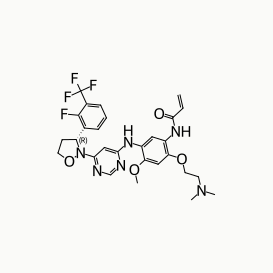 C=CC(=O)Nc1cc(Nc2cc(N3OCC[C@@H]3c3cccc(C(F)(F)F)c3F)ncn2)c(OC)cc1OCCN(C)C